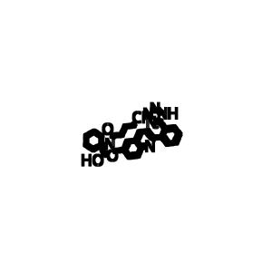 CCCCC(=O)N(Cc1ccc2nc(-c3ccccc3-c3nnn[nH]3)ccc2c1)C1(C(=O)O)CCCCC1